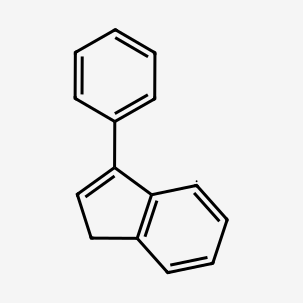 [c]1cccc2c1C(c1ccccc1)=CC2